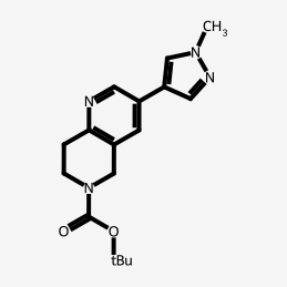 Cn1cc(-c2cnc3c(c2)CN(C(=O)OC(C)(C)C)CC3)cn1